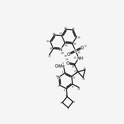 COc1ncc(C2CCC2)c(C)c1C1(C(=O)NS(=O)(=O)c2cccc3ccc(C)nc23)CC1